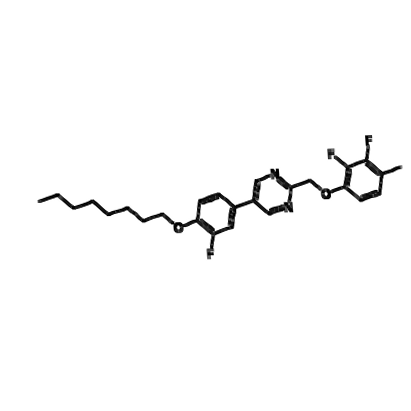 CCCCCCCCOc1ccc(-c2cnc(COc3ccc(C)c(F)c3F)nc2)cc1F